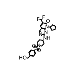 O=c1c(C(F)F)cc2cnc(NC3CCN(S(=O)(=O)c4ccc(CO)cc4)CC3)nc2n1C1CCCC1